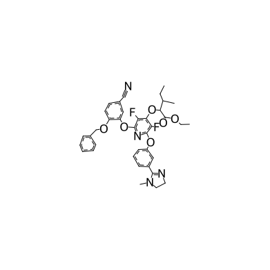 CCOC(=O)C(Oc1c(F)c(Oc2cccc(C3=NCCN3C)c2)nc(Oc2cc(C#N)ccc2OCc2ccccc2)c1F)C(C)CC